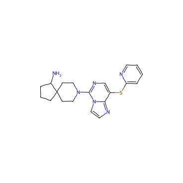 NC1CCCC12CCN(c1ncc(Sc3ccccn3)c3nccn13)CC2